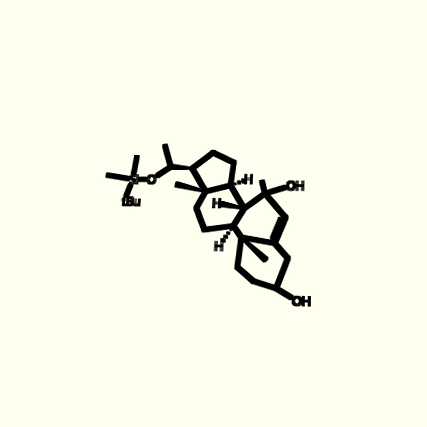 CC(O[Si](C)(C)C(C)(C)C)[C@H]1CC[C@H]2[C@H]3[C@H](CC[C@]12C)[C@@]1(C)CCC(O)CC1=CC3(C)O